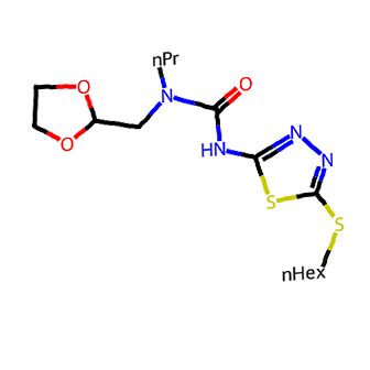 CCCCCCSc1nnc(NC(=O)N(CCC)CC2OCCO2)s1